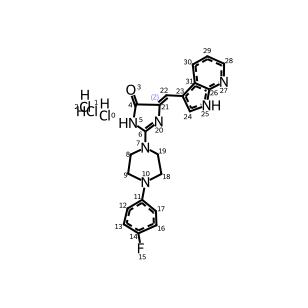 Cl.Cl.Cl.O=C1NC(N2CCN(c3ccc(F)cc3)CC2)=N/C1=C\c1c[nH]c2ncccc12